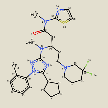 CN(C(=O)C[C@H](CCN1CCCC(F)(F)C1)N(C=O)c1nc(C2CCCC2)n(-c2ccccc2C(F)(F)F)n1)c1nccs1